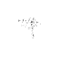 Cc1cc(C)c(-c2nc(C)c(C(=O)NCCCCN3CCCC3)s2)c(C)c1